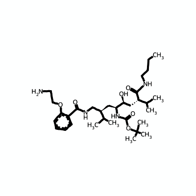 CCCCNC(=O)[C@@H](C[C@H](O)[C@H](C[C@H](CNC(=O)c1ccccc1OCCN)C(C)C)NC(=O)OC(C)(C)C)C(C)C